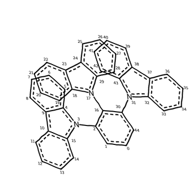 c1cc(-n2c3ccccc3c3ccccc32)c(-n2c3ccccc3c3ccccc32)c(-n2c3ccccc3c3ccccc32)c1